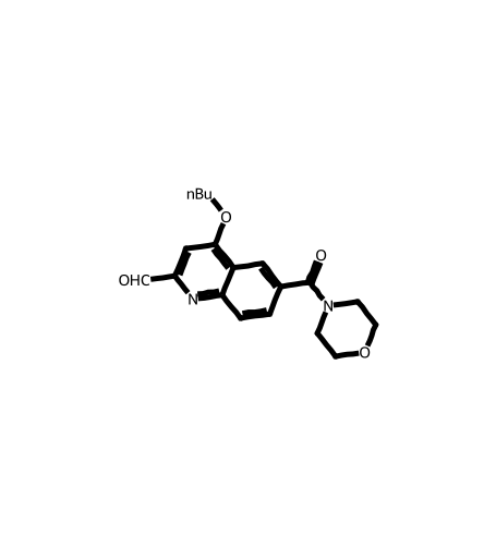 CCCCOc1cc(C=O)nc2ccc(C(=O)N3CCOCC3)cc12